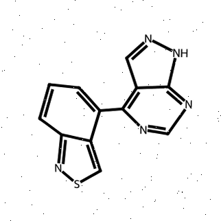 c1cc(-c2ncnc3[nH]ncc23)c2csnc2c1